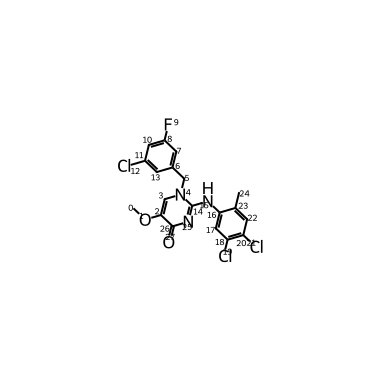 COc1cn(Cc2cc(F)cc(Cl)c2)c(Nc2cc(Cl)c(Cl)cc2C)nc1=O